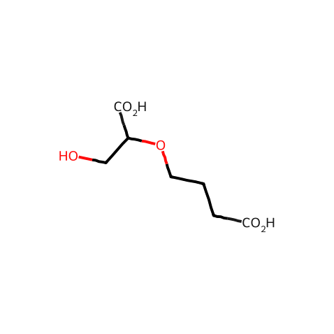 O=C(O)CCCOC(CO)C(=O)O